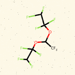 FC(F)C(F)(F)OC(OC(F)(F)C(F)F)C(F)(F)F